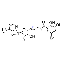 Nc1ncnc2c1ncn2C1OC(/C=C/CNC(=O)c2cc(Br)cc(O)c2O)C(O)C1O